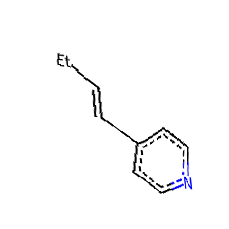 CCC=Cc1ccncc1